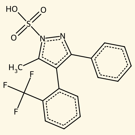 Cc1c(-c2ccccc2C(F)(F)F)c(-c2ccccc2)nn1S(=O)(=O)O